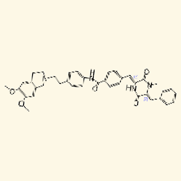 COc1cc2c(cc1OC)CN(CCc1ccc(NC(=O)c3ccc(/C=c4\[nH]c(=O)/c(=C/c5ccccc5)n(C)c4=O)cc3)cc1)CC2